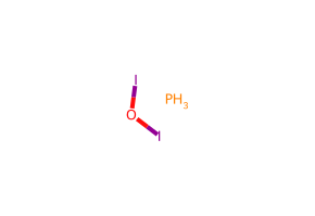 IOI.P